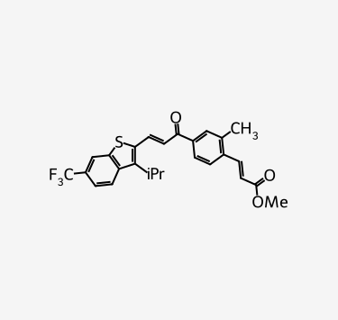 COC(=O)C=Cc1ccc(C(=O)C=Cc2sc3cc(C(F)(F)F)ccc3c2C(C)C)cc1C